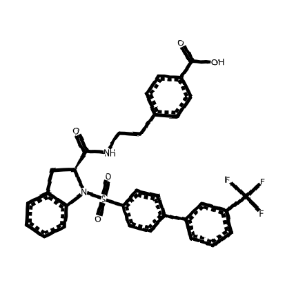 O=C(O)c1ccc(CCNC(=O)[C@@H]2Cc3ccccc3N2S(=O)(=O)c2ccc(-c3cccc(C(F)(F)F)c3)cc2)cc1